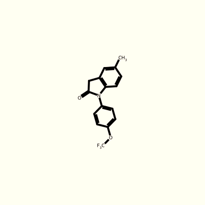 Cc1ccc2c(c1)CC(=O)N2c1ccc(OC(F)(F)F)cc1